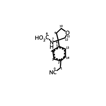 N#CCc1ccc(C2(NC(=O)O)CCOC2)cc1